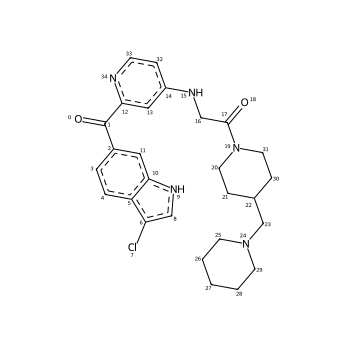 O=C(c1ccc2c(Cl)c[nH]c2c1)c1cc(NCC(=O)N2CCC(CN3CCCCC3)CC2)ccn1